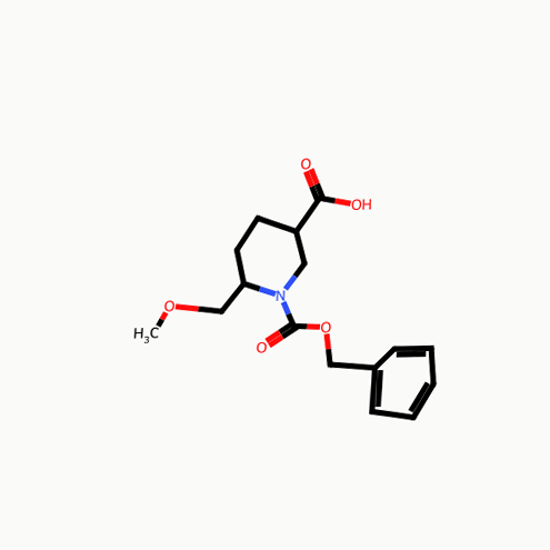 COCC1CCC(C(=O)O)CN1C(=O)OCc1ccccc1